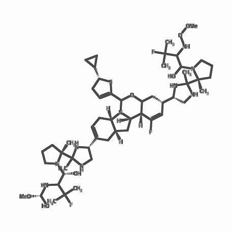 COONC(C(O)N1CCC[C@]1(C)C1(C)NC[C@H]([C@@H]2C=C(F)[C@H]3C(C2)OC(C2=CC[C@H](C4CC4)S2)N2[C@H]4CC=C([C@@H]5CNC(C)([C@@]6(C)CCCN6[C@H](O)C(N[C@H](O)OC)C(C)(C)F)N5)C[C@H]4C[C@@H]32)N1)C(C)(C)F